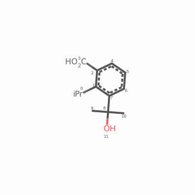 CC(C)c1c(C(=O)O)cccc1C(C)(C)O